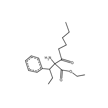 CCCCCC(=O)C(N)(C(=O)OCC)C(CC)c1ccccc1